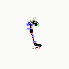 C=CC(=O)n1c2ccccc2c2cc(C(=O)NCCOCCNC(=O)Oc3ccc(NC(=O)C[C@@H]4N=C(c5ccc(Cl)cc5)c5c(sc(C)c5C)-n5c(C)nnc54)cc3)ccc21